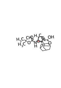 COC(=O)C12CC3CC(C1)C(C1C(NC(=O)OC(C)(C)C)CCN1C(=O)O)C(C3)C2